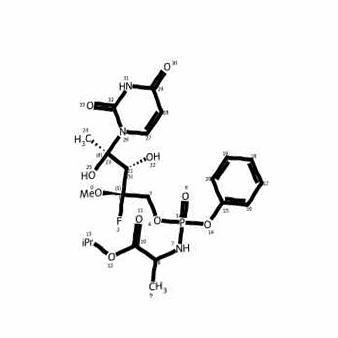 CO[C@](F)(COP(=O)(NC(C)C(=O)OC(C)C)Oc1ccccc1)[C@@H](O)[C@@](C)(O)n1ccc(=O)[nH]c1=O